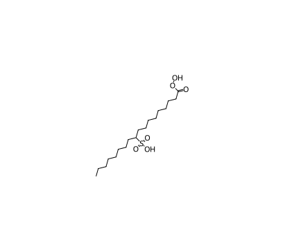 CCCCCCCCC(CCCCCCCCC(=O)OO)S(=O)(=O)O